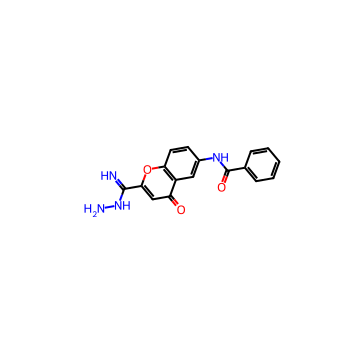 N=C(NN)c1cc(=O)c2cc(NC(=O)c3ccccc3)ccc2o1